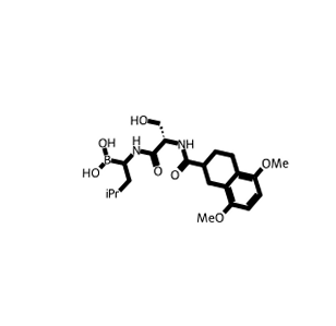 COc1ccc(OC)c2c1CCC(C(=O)N[C@@H](CO)C(=O)NC(CC(C)C)B(O)O)C2